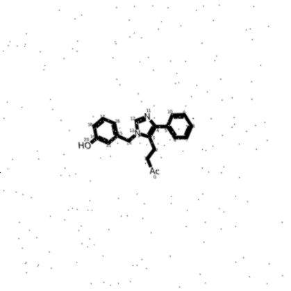 CC(=O)CCc1c(-c2ccccc2)ncn1Cc1cccc(O)c1